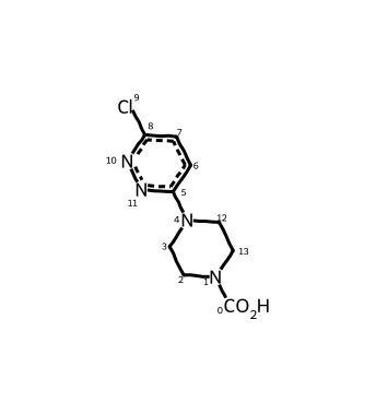 O=C(O)N1CCN(c2ccc(Cl)nn2)CC1